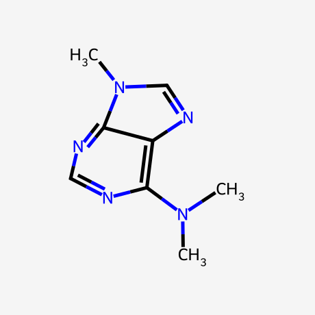 CN(C)c1ncnc2c1ncn2C